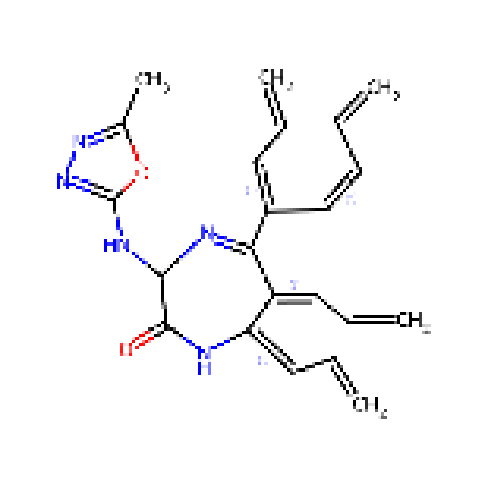 C=C/C=C\C(=C/C=C)C1=NC(Nc2nnc(C)o2)C(=O)NC(=C/C=C)/C1=C\C=C